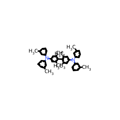 Cc1cccc(N(c2cccc(C)c2)c2cc(C)c(-c3c(C)cc(N(c4cccc(C)c4)c4cccc(C)c4)cc3C)c(C)c2)c1